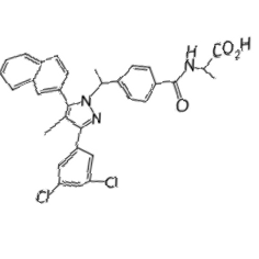 Cc1c(-c2cc(Cl)cc(Cl)c2)nn(C(C)c2ccc(C(=O)NC(C)C(=O)O)cc2)c1-c1ccc2ccccc2c1